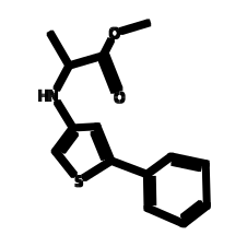 COC(=O)C(C)Nc1csc(-c2ccccc2)c1